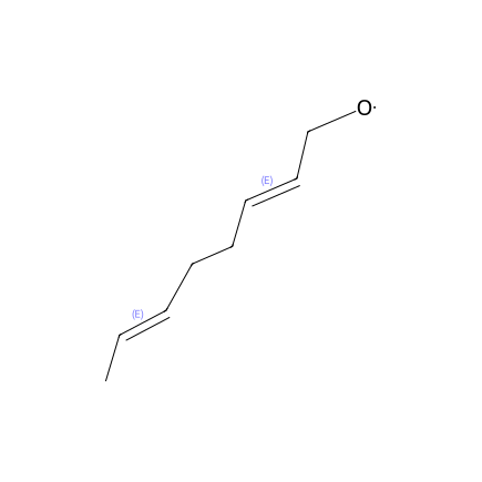 C/C=C/CC/C=C/C[O]